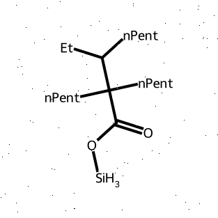 CCCCCC(CC)C(CCCCC)(CCCCC)C(=O)O[SiH3]